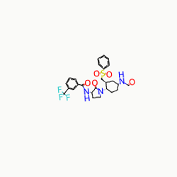 O=CN[C@@H]1CC[C@H](N2CC[C@H](NC(=O)c3cccc(C(F)(F)F)c3)C2=O)[C@@H](CS(=O)(=O)c2ccccc2)C1